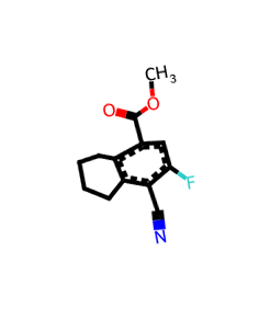 COC(=O)c1cc(F)c(C#N)c2c1CCCC2